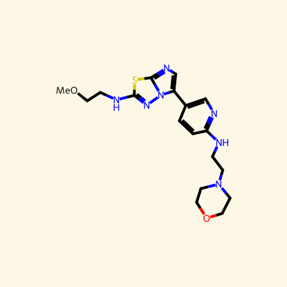 COCCNc1nn2c(-c3ccc(NCCN4CCOCC4)nc3)cnc2s1